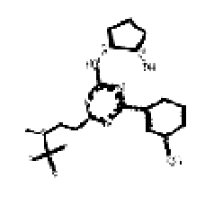 C[C@@H](CCc1nc(N[C@@H]2CCC[C@@H]2O)nc(C2=CC(O)CCC2)n1)C(F)(F)F